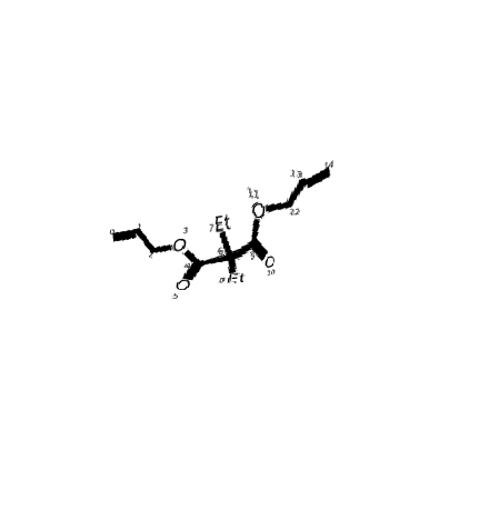 C=CCOC(=O)C(CC)(CC)C(=O)OCC=C